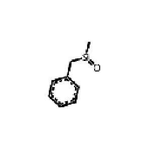 C[Si](=O)Cc1ccccc1